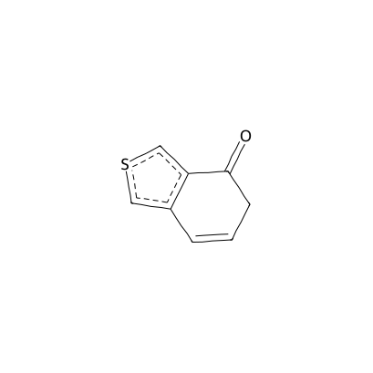 O=C1CC=Cc2cscc21